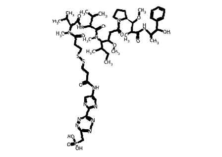 CCC(C)C(C(CC(=O)N1CCC[C@H]1C(OC)C(C)C(=O)NC(C)C(O)c1ccccc1)OC)N(C)C(=O)C(NC(=O)C(C(C)C)N(C)C(=O)CCSSCCC(=O)Nc1cnc(-c2nnc(CP(=O)(O)O)nn2)nc1)C(C)C